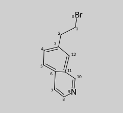 BrCCc1ccc2ccncc2c1